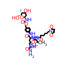 CC(C)C(NC(=O)CCCCCN1C(=O)C=CC1=O)C(=O)NC(CCCNC(N)=O)C(=O)Nc1ccc(COC(=O)NC2C[C@@H](O)[C@H](F)[C@@H](CO)O2)cc1